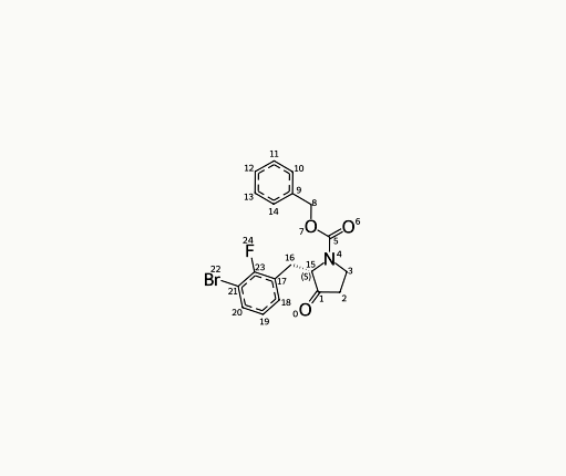 O=C1CCN(C(=O)OCc2ccccc2)[C@H]1Cc1cccc(Br)c1F